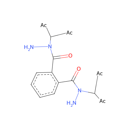 CC(=O)C(C(C)=O)N(N)C(=O)c1ccccc1C(=O)N(N)C(C(C)=O)C(C)=O